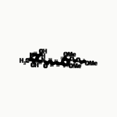 COCCOCOc1c(OC)cc(C=CC=CC(=O)NCc2c(CO)cnc(C)c2O)cc1OC